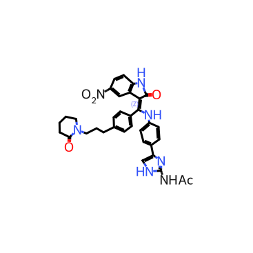 CC(=O)Nc1nc(-c2ccc(N/C(=C3\C(=O)Nc4ccc([N+](=O)[O-])cc43)c3ccc(CCCN4CCCCC4=O)cc3)cc2)c[nH]1